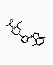 CCC1CN(c2cccc(-n3ccc4c(F)ccc(C)c43)c2)CCN1C(C)=O